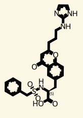 O=C(O)[C@H](Cc1ccc2oc(CCCNc3ncc[nH]3)cc(=O)c2c1)NS(=O)(=O)Cc1ccccc1